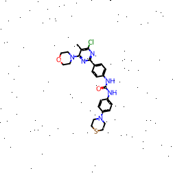 Cc1c(Cl)nc(-c2ccc(NC(=O)Nc3ccc(N4CCSCC4)cc3)cc2)nc1N1CCOCC1